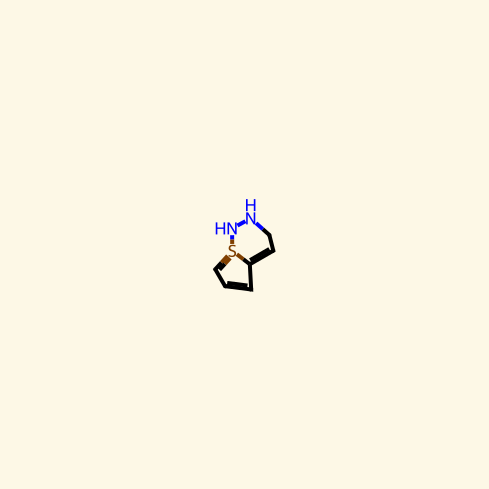 C1=CC2=CCNNS2=C1